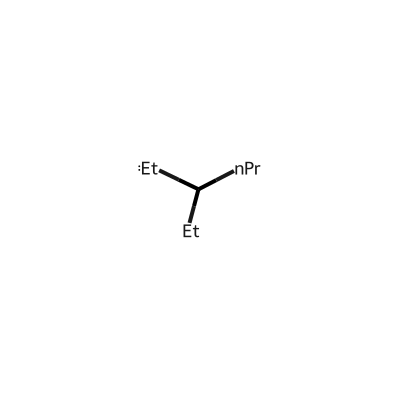 C[C]C(CC)CCC